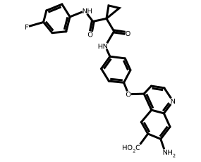 Nc1cc2nccc(Oc3ccc(NC(=O)C4(C(=O)Nc5ccc(F)cc5)CC4)cc3)c2cc1C(=O)O